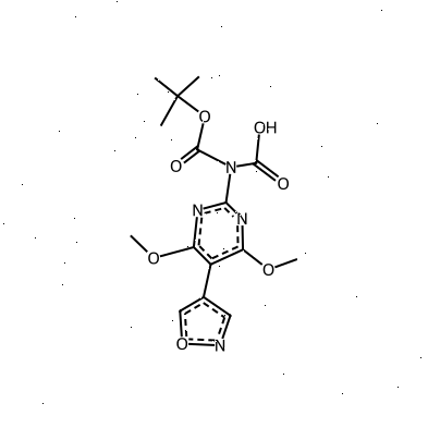 COc1nc(N(C(=O)O)C(=O)OC(C)(C)C)nc(OC)c1-c1cnoc1